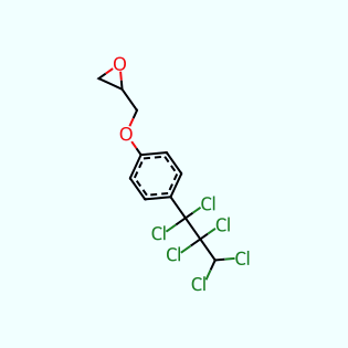 ClC(Cl)C(Cl)(Cl)C(Cl)(Cl)c1ccc(OCC2CO2)cc1